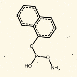 NOP(O)Oc1cccc2ccccc12